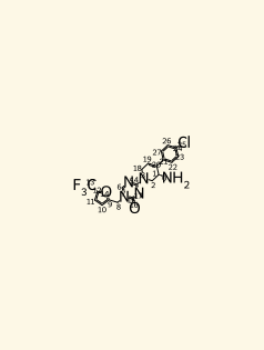 N[C@H]1CN(c2ncn(Cc3ccc(C(F)(F)F)o3)c(=O)n2)CC=C1c1ccc(Cl)cc1